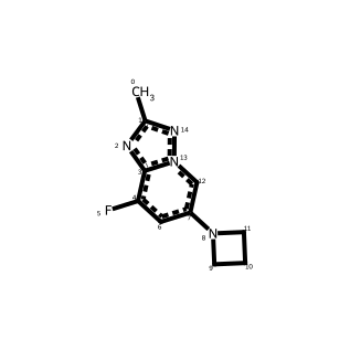 Cc1nc2c(F)cc(N3CCC3)cn2n1